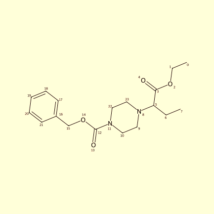 CCOC(=O)C(CC)N1CCN(C(=O)OCc2ccccc2)CC1